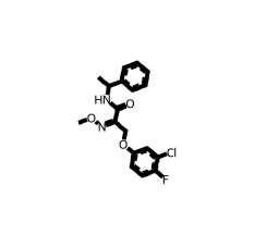 CON=C(COc1ccc(F)c(Cl)c1)C(=O)NC(C)c1ccccc1